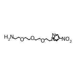 NCCOCCOCCOCCn1cc([N+](=O)[O-])cn1